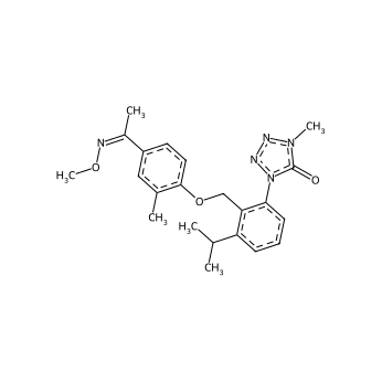 CO/N=C(/C)c1ccc(OCc2c(C(C)C)cccc2-n2nnn(C)c2=O)c(C)c1